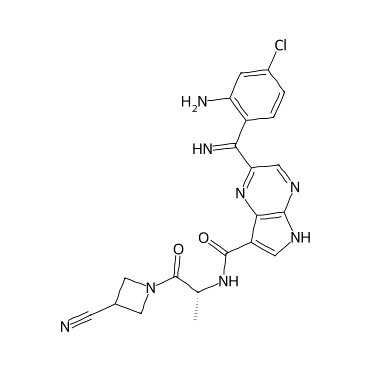 C[C@@H](NC(=O)c1c[nH]c2ncc(C(=N)c3ccc(Cl)cc3N)nc12)C(=O)N1CC(C#N)C1